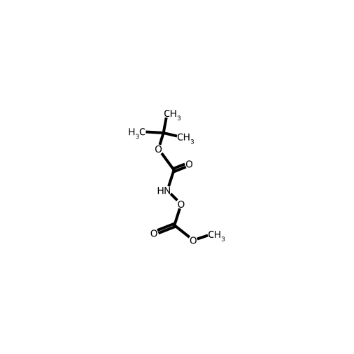 COC(=O)ONC(=O)OC(C)(C)C